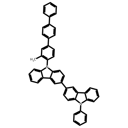 Cc1cc(-c2ccc(-c3ccccc3)cc2)ccc1-n1c2ccccc2c2cc(-c3ccc4c(c3)c3ccccc3n4-c3ccccc3)ccc21